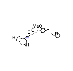 COc1cc(OCCCc2ccccn2)ccc1CCC(=O)CC(=O)/C=C/c1cc[nH]cccc(C)c1